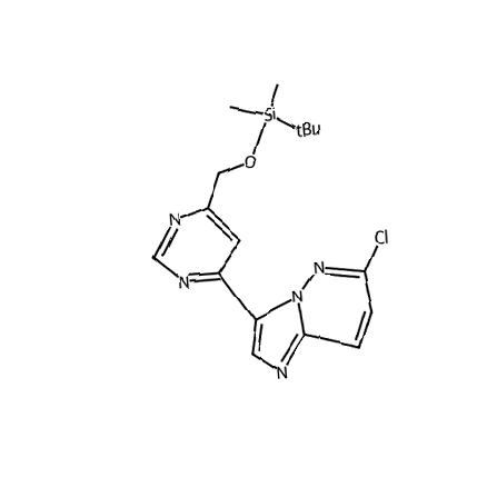 CC(C)(C)[Si](C)(C)OCc1cc(-c2cnc3ccc(Cl)nn23)ncn1